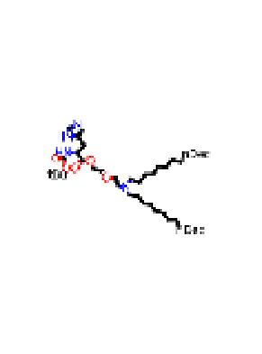 CCCCCCCCCCCCCCCCCCN(CCCCCCCCCCCCCCCCCC)CCOCCOC(=O)C(Cc1cnc[nH]1)NC(=O)OC(C)(C)C